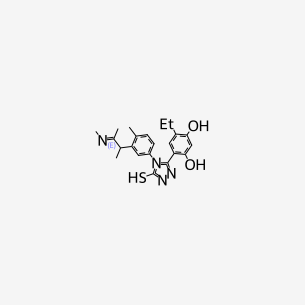 CCc1cc(-c2nnc(S)n2-c2ccc(C)c(C(C)/C(C)=N/C)c2)c(O)cc1O